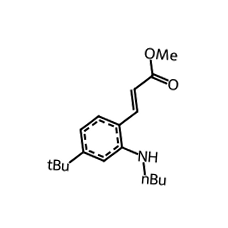 CCCCNc1cc(C(C)(C)C)ccc1C=CC(=O)OC